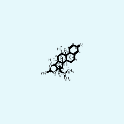 CCCC1O[C@@H]2C[C@H]3[C@@H]4CCC5=CC(=O)C=C[C@]5(C)[C@H]4[C@@H](O)C[C@]3(C)[C@]2(C(=O)CN(C)C)O1